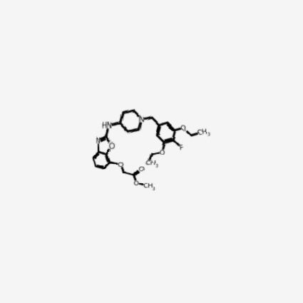 CCOc1cc(CN2CCC(Nc3nc4cccc(OCC(=O)OC)c4o3)CC2)cc(OCC)c1F